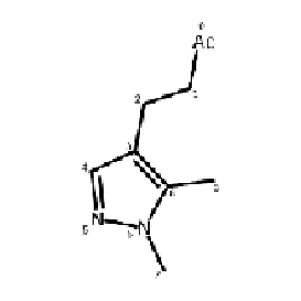 CC(=O)CCc1cnn(C)c1C